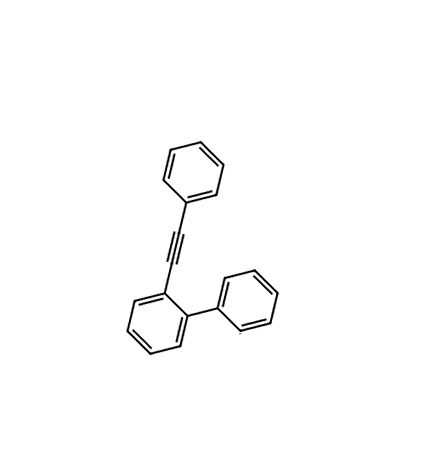 C(#Cc1ccccc1-c1[c]cccc1)c1ccccc1